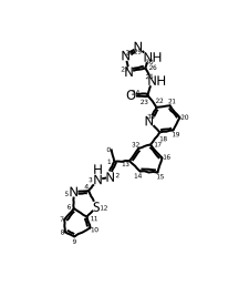 C/C(=N\Nc1nc2ccccc2s1)c1cccc(-c2cccc(C(=O)Nc3nnn[nH]3)n2)c1